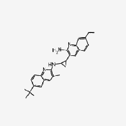 CCc1ccc2cc(C3CC3Nc3nc4ccc(C(C)(C)C)cc4cc3C)c(N)nc2c1